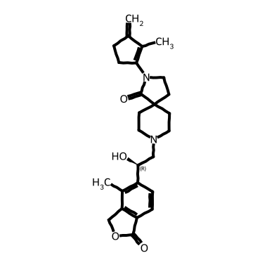 C=C1CCC(N2CCC3(CCN(C[C@H](O)c4ccc5c(c4C)COC5=O)CC3)C2=O)=C1C